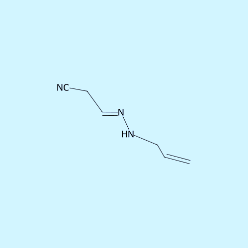 C=CCNN=CCC#N